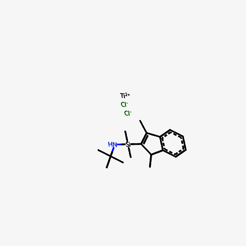 CC1=C([Si](C)(C)NC(C)(C)C)C(C)c2ccccc21.[Cl-].[Cl-].[Ti+2]